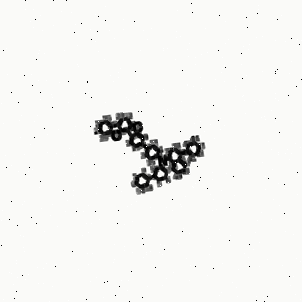 c1ccc(-c2cccc(N(c3ccc(-c4ccc5c(c4)oc4ccc6c7ccccc7oc6c45)cc3)c3ccc(-c4ccccc4)c4ccccc34)c2)cc1